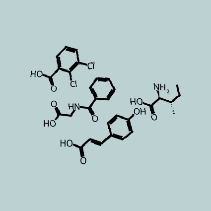 CC[C@H](C)[C@H](N)C(=O)O.O=C(O)C=Cc1ccc(O)cc1.O=C(O)CNC(=O)c1ccccc1.O=C(O)c1cccc(Cl)c1Cl